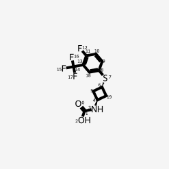 O=C(O)N[C@H]1C[C@H](Sc2ccc(F)c(C(F)(F)F)c2)C1